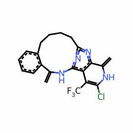 C=C1Nc2nc(nc3c2C(C(F)(F)F)=C(Cl)NC3=C)CCCCc2ccccc21